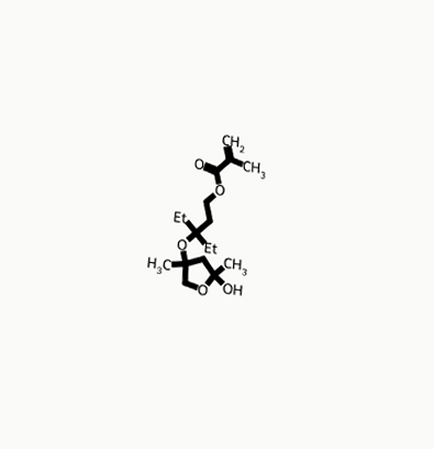 C=C(C)C(=O)OCCC(CC)(CC)OC1(C)COC(C)(O)C1